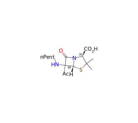 CCCCCNC1(C(C)=O)C(=O)N2[C@@H](C(=O)O)C(C)(C)S[C@@H]21